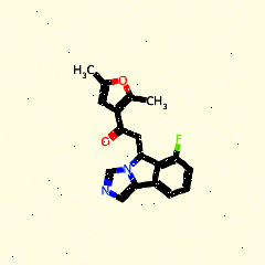 Cc1cc(C(=O)CC2c3c(F)cccc3-c3cncn32)c(C)o1